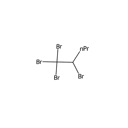 CCCC(Br)C(Br)(Br)Br